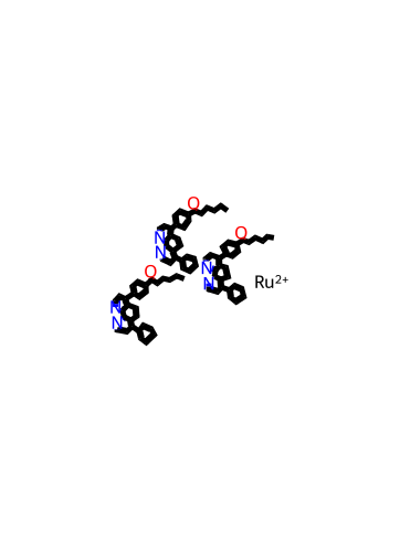 CCCCCC(=O)c1ccc(-c2ccnc3c2ccc2c(-c4ccccc4)ccnc23)cc1.CCCCCC(=O)c1ccc(-c2ccnc3c2ccc2c(-c4ccccc4)ccnc23)cc1.CCCCCC(=O)c1ccc(-c2ccnc3c2ccc2c(-c4ccccc4)ccnc23)cc1.[Ru+2]